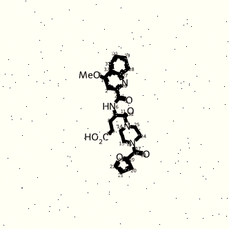 COc1cc(C(=O)NC(CCC(=O)O)C(=O)N2CCN(C(=O)c3ccco3)CC2)nc2ccccc12